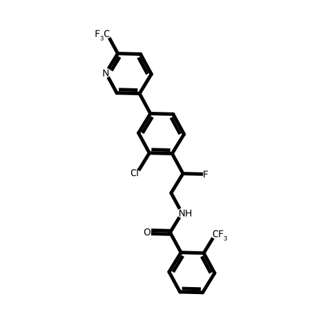 O=C(NCC(F)c1ccc(-c2ccc(C(F)(F)F)nc2)cc1Cl)c1ccccc1C(F)(F)F